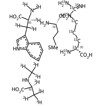 CSCC[C@H](N)C(=O)O.[15NH]=[13C]([15NH2])[15NH][13CH2][13CH2][13CH2][13C@H]([15NH2])[13C](=O)O.[2H]C([2H])([2H])N[C@]([2H])(C(=O)O)C([2H])([2H])[2H].[2H]N([2H])[C@]([2H])(C(=O)O)C([2H])([2H])c1c[nH]c2ccccc12